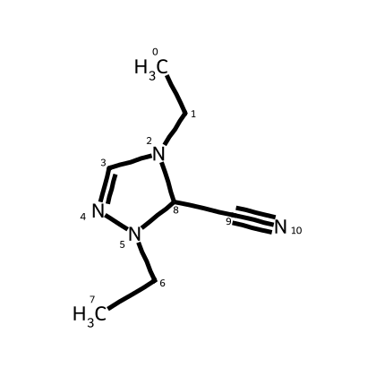 CCN1C=NN(CC)C1C#N